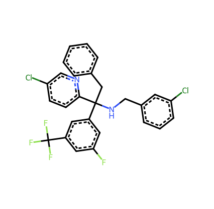 Fc1cc(C(F)(F)F)cc(C(Cc2ccccc2)(NCc2cccc(Cl)c2)c2ccc(Cl)cn2)c1